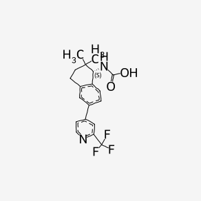 CC1(C)CCc2cc(-c3ccnc(C(F)(F)F)c3)ccc2[C@H]1NC(=O)O